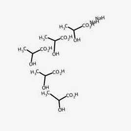 CC(O)C(=O)O.CC(O)C(=O)O.CC(O)C(=O)O.CC(O)C(=O)O.CC(O)C(=O)O.[NaH].[NaH]